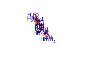 CC[C@H](C)[C@H](NC(=O)[C@H](Cc1ccc(Br)cc1)NC(=O)[C@@H](NC(=O)[C@H](CC(C)C)NC(=O)[C@H](Cc1c[nH]cn1)NC(=O)CNC(=O)[C@H](CCCNC(=N)N)NC(C)=O)C(C)C)C(=O)N[C@@H](CCC(N)=O)C(N)=O